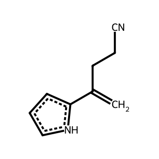 C=C(CCC#N)c1ccc[nH]1